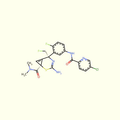 CN(C)C(=O)[C@]12C=C1[C@@](CF)(c1cc(NC(=O)c3ccc(Cl)cn3)ccc1F)N=C(N)S2